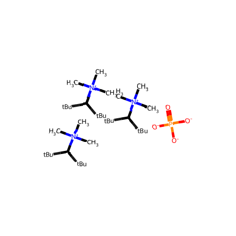 CC(C)(C)C(C(C)(C)C)[N+](C)(C)C.CC(C)(C)C(C(C)(C)C)[N+](C)(C)C.CC(C)(C)C(C(C)(C)C)[N+](C)(C)C.O=P([O-])([O-])[O-]